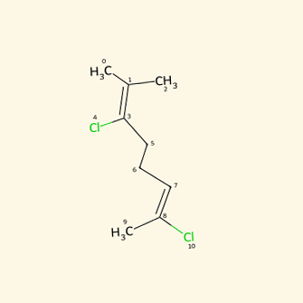 CC(C)=C(Cl)CC/C=C(\C)Cl